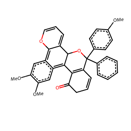 COc1ccc(C2(c3ccccc3)OC3C4=CC=COC4=c4cc(OC)c(OC)cc4=C3C3=C2C=CCC3=O)cc1